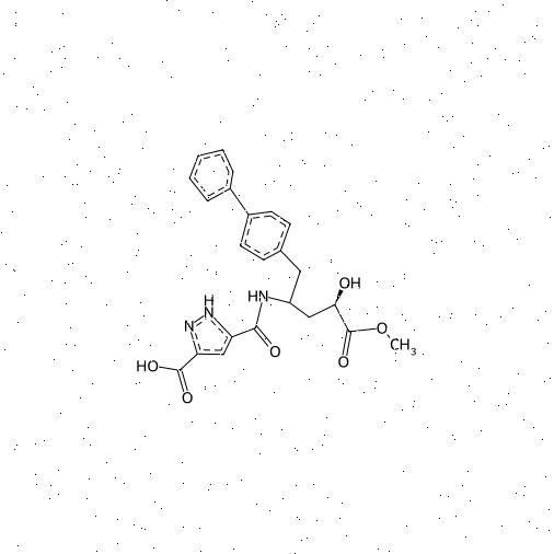 COC(=O)[C@H](O)CC(Cc1ccc(-c2ccccc2)cc1)NC(=O)c1cc(C(=O)O)n[nH]1